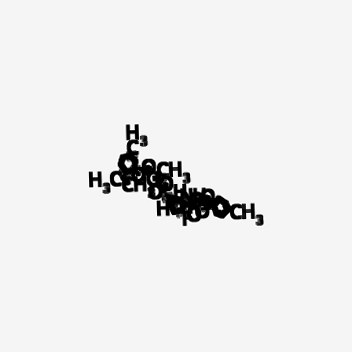 Cc1ccc(S(=O)(=O)OC(=O)[C@@]2(N)[C@H]3[C@@H](C[C@@H]2F)[C@@H]3C(=O)O[C@H](C)OC(=O)O[C@@H]2C[C@H](C)CC[C@H]2C(C)C)cc1